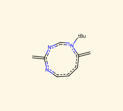 C=c1ncccc(=C)n(C(C)(C)C)cn1